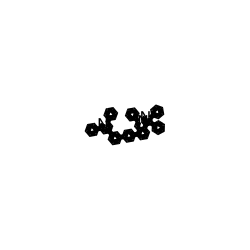 c1ccc(-c2cc(-c3cccc(-c4ccc(-c5cccc6c5cc(-c5ccccc5)n5nc(-c7ccccc7)c(-c7ccccc7)c65)cc4)c3)cc(-c3ccccc3)n2)cc1